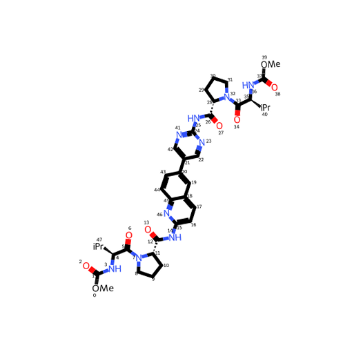 COC(=O)N[C@H](C(=O)N1CCC[C@H]1C(=O)Nc1ccc2cc(-c3cnc(NC(=O)[C@@H]4CCCN4C(=O)[C@@H](NC(=O)OC)C(C)C)nc3)ccc2n1)C(C)C